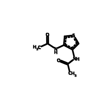 CC(=O)Nc1cscc1NC(C)=O